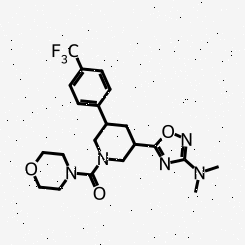 CN(C)c1noc(C2CC(c3ccc(C(F)(F)F)cc3)CN(C(=O)N3CCOCC3)C2)n1